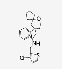 Clc1ccsc1CNCCC1(c2ccccn2)CCOC2(CCCC2)C1